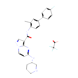 Cc1cc(-c2ccc(F)cc2)ccc1NC(=O)c1cnn2ccc(N[C@@H]3CCCNC3)nc12.O=C(O)C(F)(F)F